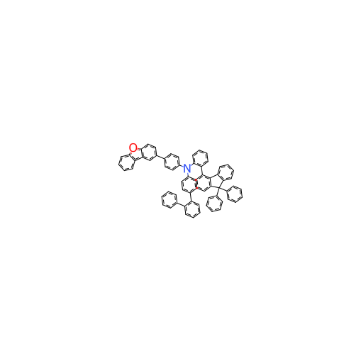 c1ccc(-c2ccccc2-c2ccc(N(c3ccc(-c4ccc5oc6ccccc6c5c4)cc3)c3ccccc3-c3cccc4c3-c3ccccc3C4(c3ccccc3)c3ccccc3)cc2)cc1